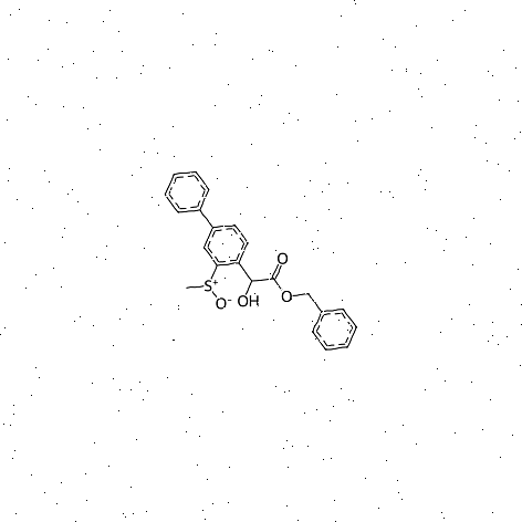 C[S+]([O-])c1cc(-c2ccccc2)ccc1C(O)C(=O)OCc1ccccc1